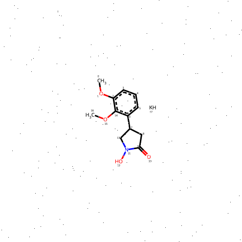 COc1cccc(C2CC(=O)N(O)C2)c1OC.[KH]